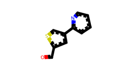 O=Cc1cc(-c2ccccn2)cs1